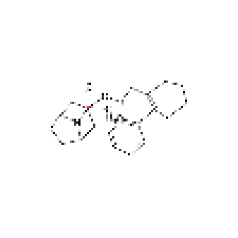 CC(C)N1C2CCC1CC(OC(=O)CC1=C(c3ccccc3)CCCC1)C2